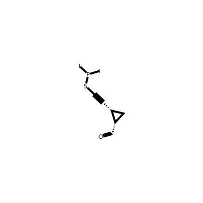 O=C[C@H]1C[C@H]1C#CSP(I)I